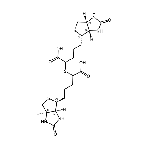 O=C1N[C@H]2[C@H](CS[C@H]2CCCC(SC(CCC[C@@H]2SC[C@@H]3NC(=O)N[C@@H]32)C(=O)O)C(=O)O)N1